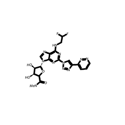 CNC(=O)C1O[C@@H](n2cnc3c(NCC(F)F)nc(-n4cc(-c5cccnn5)nn4)nc32)[C@H](O)[C@@H]1O